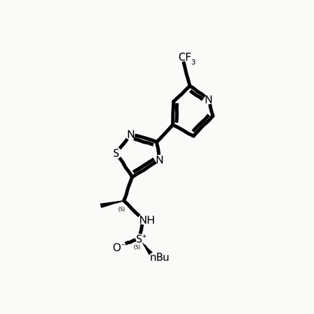 CCCC[S@@+]([O-])N[C@@H](C)c1nc(-c2ccnc(C(F)(F)F)c2)ns1